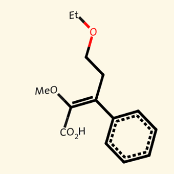 CCOCCC(=C(OC)C(=O)O)c1ccccc1